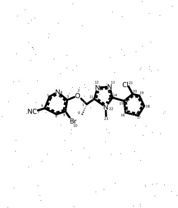 C[C@H](Oc1ncc(C#N)cc1Br)c1nnc(-c2ccccc2Cl)n1C